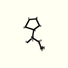 CN(SS)C1CCCC1